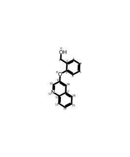 OCc1ccccc1Oc1cnc2ccccc2c1